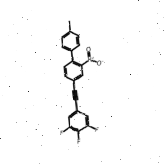 Cc1ccc(-c2ccc(C#Cc3cc(F)c(F)c(F)c3)cc2[N+](=O)[O-])cc1